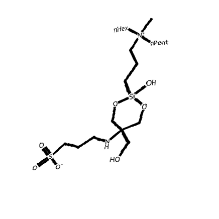 CCCCCC[N+](C)(CCCCC)CCC[Si]1(O)OCC(CO)(NCCCS(=O)(=O)[O-])CO1